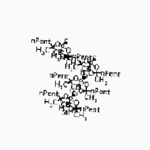 CCCCCC(C)(C)OP(=S)([S-])OC(C)(C)CCCCC.CCCCCC(C)(C)OP(=S)([S-])OC(C)(C)CCCCC.CCCCCC(C)(C)OP(=S)([S-])OC(C)(C)CCCCC.CCCCCC(C)(C)OP(=S)([S-])OC(C)(C)CCCCC.[Sn+4]